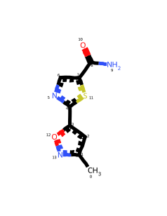 Cc1cc(-c2ncc(C(N)=O)s2)on1